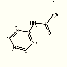 CCCCC(=O)Nc1ncncn1